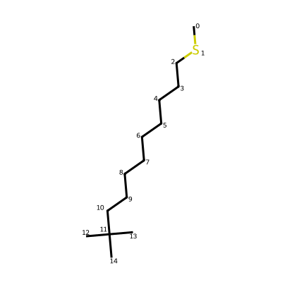 CSCCCCCCCCCC(C)(C)C